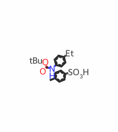 CCc1ccc(NC(=O)OC(C)(C)C)cc1.Cc1ccc(S(=O)(=O)O)cc1